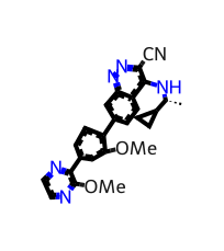 COc1cc(-c2nccnc2OC)ccc1-c1ccc2c(N[C@H](C)C3CC3)c(C#N)nnc2c1